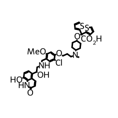 COc1cc(OCCCN(C)[C@H]2CC[C@H](OC(C(=O)O)(c3cccs3)c3cccs3)CC2)c(Cl)cc1CNC[C@H](O)c1ccc(O)c2[nH]c(=O)ccc12